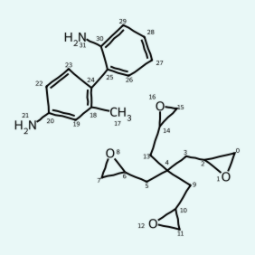 C1OC1CC(CC1CO1)(CC1CO1)CC1CO1.Cc1cc(N)ccc1-c1ccccc1N